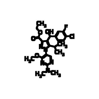 CCOC(=O)c1nn(-c2cnc(N(C)C)nc2OC)c(C(C)C)c1C(O)c1ccc(Cl)c(F)c1